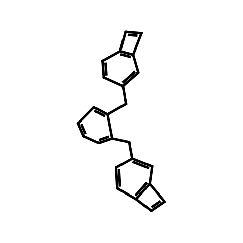 C1=Cc2cc(Cc3ccccc3Cc3ccc4c(c3)C=C4)ccc21